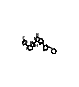 Fc1ccc(-c2nccc3[nH]c(-c4n[nH]c5ccc(-c6cncc(CN7CCCCC7)c6)nc45)nc23)s1